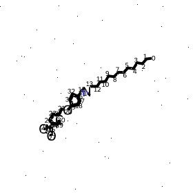 CCCCCCCCCCCCCC/N=C/c1ccc(OCc2ccc([N+](=O)[O-])cc2)cc1